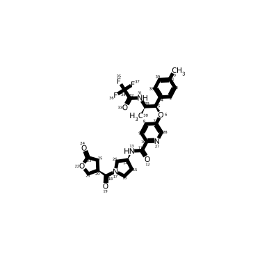 Cc1ccc([C@@H](Oc2ccc(C(=O)N[C@@H]3CCN(C(=O)[C@H]4COC(=O)C4)C3)nc2)[C@H](C)NC(=O)C(F)(F)F)cc1